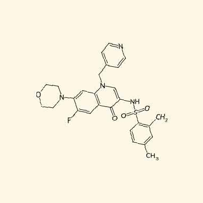 Cc1ccc(S(=O)(=O)Nc2cn(Cc3ccncc3)c3cc(N4CCOCC4)c(F)cc3c2=O)c(C)c1